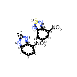 O=[N+]([O-])c1cccc2n[se]nc12.O=[N+]([O-])c1cccc2nsnc12